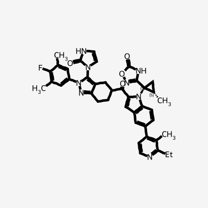 CCc1nccc(-c2ccc3c(c2)cc(C(=O)C2CCc4nn(-c5cc(C)c(F)c(C)c5)c(-n5cc[nH]c5=O)c4C2)n3[C@@]2(c3noc(=O)[nH]3)C[C@@H]2C)c1C